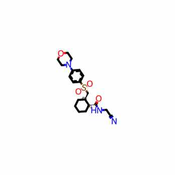 N#CCNC(=O)[C@@H]1CCCC[C@H]1CS(=O)(=O)c1ccc(N2CCOCC2)cc1